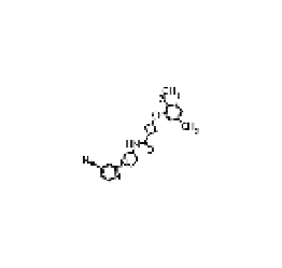 COc1ccc(C)cc1OC1CC(C(=O)NC2CCN(c3cc(C#N)ccn3)C2)C1